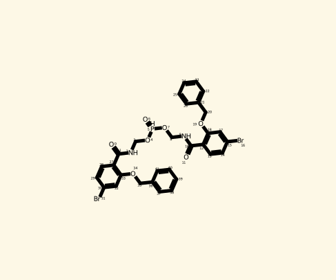 O=C(NCO[PH](=O)OCNC(=O)c1ccc(Br)cc1OCc1ccccc1)c1ccc(Br)cc1OCc1ccccc1